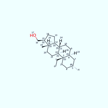 CC[C@]12CC[C@@H](C)C[C@@H]1CC[C@H]1[C@@H]3CC[C@H](CO)[C@@]3(C)CC[C@@H]12